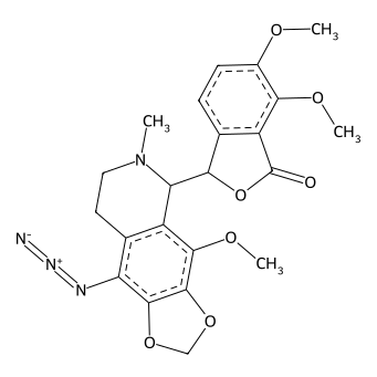 COc1ccc2c(c1OC)C(=O)OC2C1c2c(c(N=[N+]=[N-])c3c(c2OC)OCO3)CCN1C